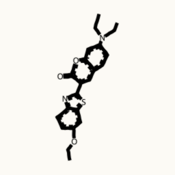 CCOc1ccc2nc(-c3cc4ccc(N(CC)CC)cc4oc3=O)sc2c1